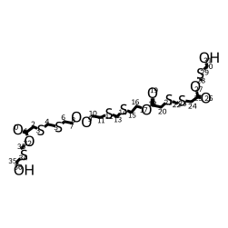 O=C(CSCSCCOOCCSCSCCOC(=O)CSCSCC(=O)OCSCO)OCSCO